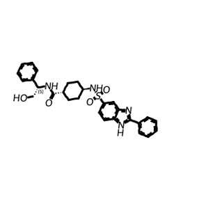 O=C(N[C@H](CO)c1ccccc1)[C@H]1CC[C@H](NS(=O)(=O)c2ccc3[nH]c(-c4ccccc4)nc3c2)CC1